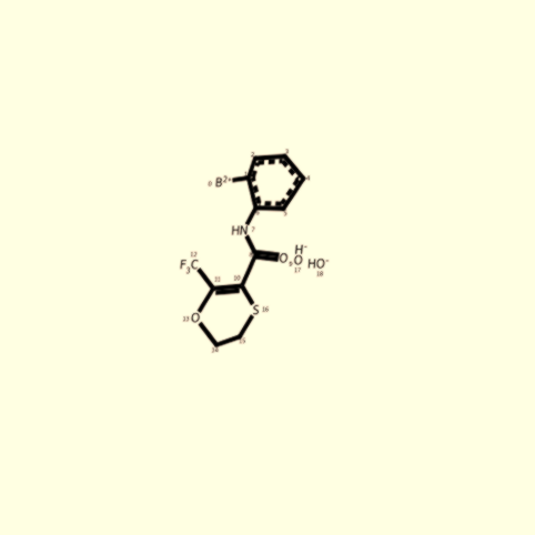 [B+2]c1ccccc1NC(=O)C1=C(C(F)(F)F)OCCS1.[OH-].[OH-]